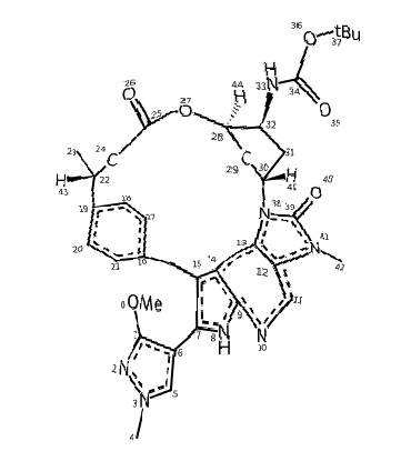 COc1nn(C)cc1-c1[nH]c2ncc3c4c2c1-c1ccc(cc1)[C@H](C)CC(=O)O[C@@H]1C[C@H](C[C@@H]1NC(=O)OC(C)(C)C)n4c(=O)n3C